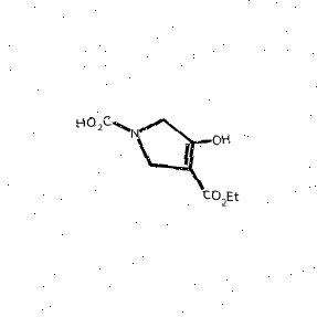 CCOC(=O)C1=C(O)CN(C(=O)O)C1